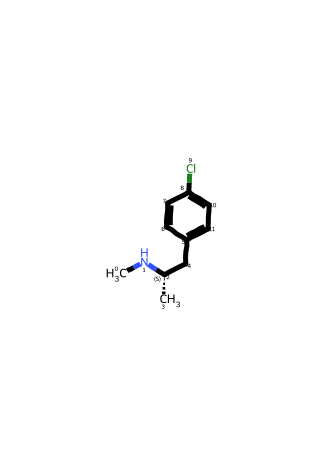 CN[C@@H](C)Cc1ccc(Cl)cc1